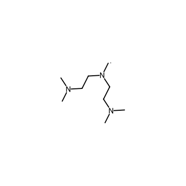 [CH2]N(CCN(C)C)CCN(C)C